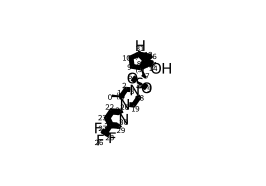 C[C@H]1CN(S(=O)(=O)C[C@]23CC[C@H](C[C@@H]2O)C3(C)C)CCN1c1ccc(C(F)(F)F)cn1